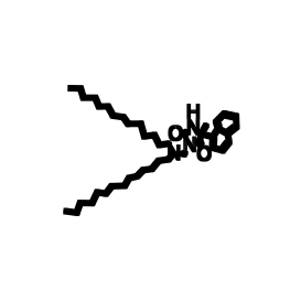 CCCCCCCCCCCCCCN(CCCCCCCCCCCCCC)CN1C(=O)NC(C)(c2cccc3ccccc23)C1=O